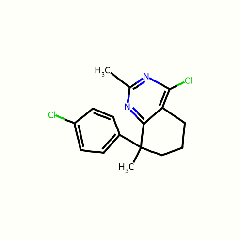 Cc1nc(Cl)c2c(n1)C(C)(c1ccc(Cl)cc1)CCC2